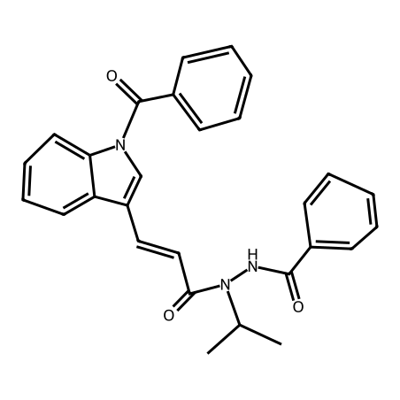 CC(C)N(NC(=O)c1ccccc1)C(=O)/C=C/c1cn(C(=O)c2ccccc2)c2ccccc12